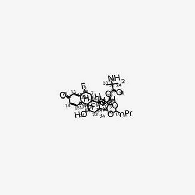 CCCC1O[C@@H]2C[C@H]3[C@@H]4C[C@H](F)C5=CC(=O)C=C[C@]5(C)[C@@]4(F)[C@@H](O)C[C@]3(C)[C@]2(C(=O)COC(=O)C(C)(C)N)O1